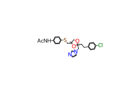 CC(=O)Nc1ccc(SC[C@H]2CO[C@](CCc3ccc(Cl)cc3)(Cn3ccnc3)O2)cc1